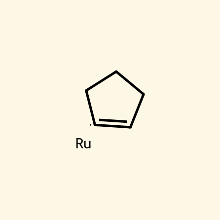 [C]1=CCCC1.[Ru]